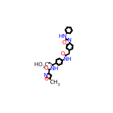 Cc1cc(C(=O)N[C@@H](CC(=O)O)c2ccc(NC(=O)Cc3ccc4nc(Nc5ccccc5)oc4c3)cc2)no1